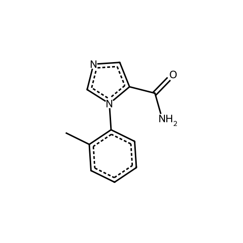 Cc1ccccc1-n1cncc1C(N)=O